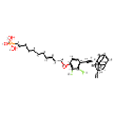 O=P(O)(O)CCCCCCCCCCCOc1ccc(C#C[C@]23CC4CC(C[C@H](C4)C2)C3)c(F)c1F